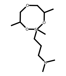 CC1COCC(C)O[Si](C)(CCCN(C)C)O1